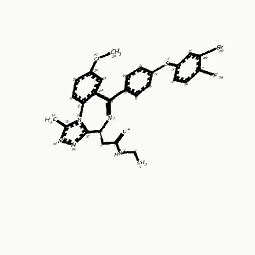 CCNC(=O)C[C@@H]1N=C(c2ccc(Sc3ccc(F)c(Br)c3)cc2)c2cc(OC)ccc2-n2c(C)nnc21